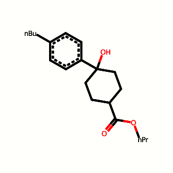 CCCCc1ccc(C2(O)CCC(C(=O)OCCC)CC2)cc1